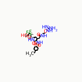 CCc1ccc(S(=O)(=O)Nc2c(CC(=O)NCCONC(=N)N)cc(C)[nH]c2=O)cc1.O=C(O)C(F)(F)F